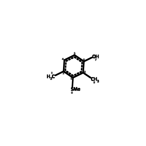 CSc1c(C)ccc(O)c1C